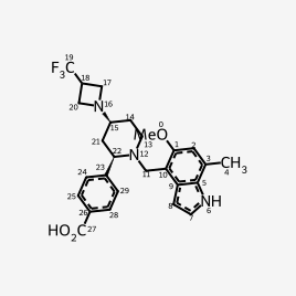 COc1cc(C)c2[nH]ccc2c1CN1CC[C@H](N2CC(C(F)(F)F)C2)C[C@@H]1c1ccc(C(=O)O)cc1